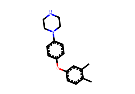 Cc1ccc(Oc2ccc(N3CCNCC3)cc2)cc1C